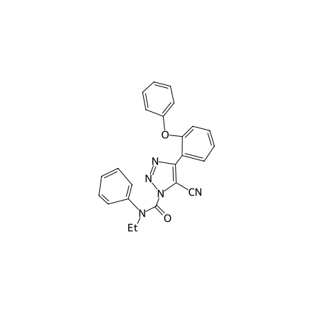 CCN(C(=O)n1nnc(-c2ccccc2Oc2ccccc2)c1C#N)c1ccccc1